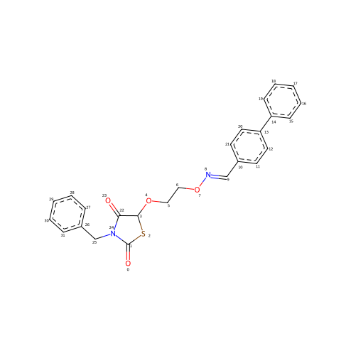 O=C1SC(OCCON=Cc2ccc(-c3ccccc3)cc2)C(=O)N1Cc1ccccc1